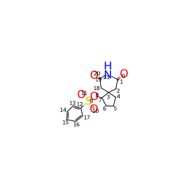 O=C1CC2(CCCC2OS(=O)(=O)c2ccccc2)CC(=O)N1